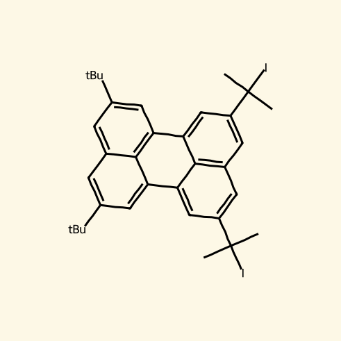 CC(C)(C)c1cc2cc(C(C)(C)C)cc3c4cc(C(C)(C)I)cc5cc(C(C)(C)I)cc(c(c1)c23)c54